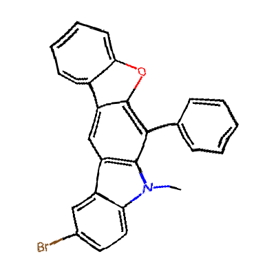 Cn1c2ccc(Br)cc2c2cc3c(oc4ccccc43)c(-c3ccccc3)c21